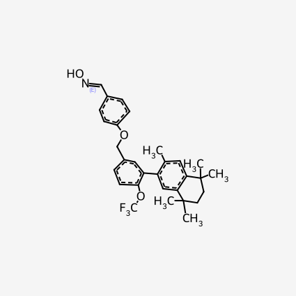 Cc1cc2c(cc1-c1cc(COc3ccc(/C=N/O)cc3)ccc1OC(F)(F)F)C(C)(C)CCC2(C)C